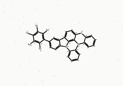 [2H]c1c([2H])c([2H])c(-c2ccc3c(c2)c2ccc4c5c2n3-c2ccccc2N5c2ccccc2S4)c([2H])c1[2H]